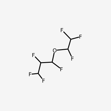 FC(F)C(F)OC(F)C(F)C(F)F